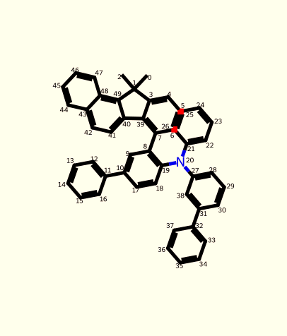 CC1(C)c2cccc(-c3cc(-c4ccccc4)ccc3N(c3ccccc3)c3cccc(-c4ccccc4)c3)c2-c2ccc3ccccc3c21